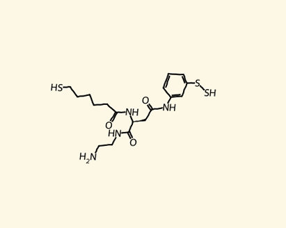 NCCNC(=O)[C@H](CC(=O)Nc1cccc(SS)c1)NC(=O)CCCCCS